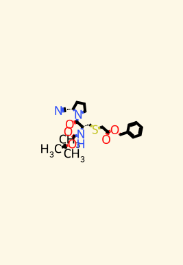 CC(C)(C)OC(=O)N[C@@H](CSCC(=O)OCc1ccccc1)C(=O)N1CCC[C@H]1C#N